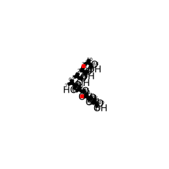 C=C(C)C(=O)O.C=C(C)C(=O)O.C=C(C)C(=O)O.C=C(C)C(=O)O.C=C(C)C(=O)O.C=C(C)C(=O)O.C=C(C)C(=O)O